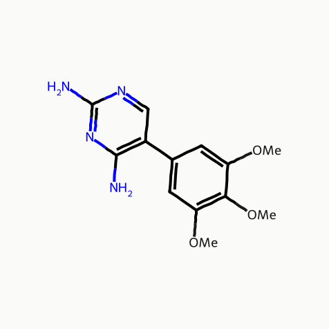 COc1cc(-c2cnc(N)nc2N)cc(OC)c1OC